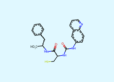 O=C(Nc1ccc2ncccc2c1)NC(CS)C(=O)NC(Cc1ccccc1)C(=O)O